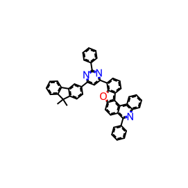 CC1(C)c2ccccc2-c2cc(-c3cc(-c4cccc5c4oc4ccc6c(-c7ccccc7)nc7ccccc7c6c45)nc(-c4ccccc4)n3)ccc21